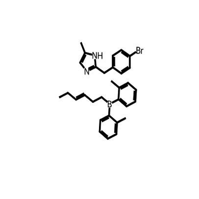 CCC=CCCB(c1ccccc1C)c1ccccc1C.Cc1cnc(Cc2ccc(Br)cc2)[nH]1